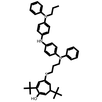 CCCN(c1ccccc1)c1ccc(Nc2ccc(N(CCCSC3=CC(C(C)(C)C)C=C(O)C(C(C)(C)C)=C3)c3ccccc3)cc2)cc1